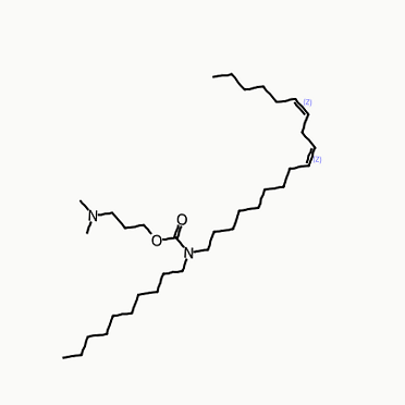 CCCCC/C=C\C/C=C\CCCCCCCCN(CCCCCCCCCC)C(=O)OCCCN(C)C